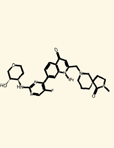 CC(C)n1c(CN2CCC[C@]3(CCN(C)C3=O)C2)cc(=O)c2ccc(-c3nc(N[C@@H]4CCOC[C@H]4O)ncc3F)cc21